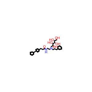 O=C(CCc1ccc(-c2ccccc2)cc1)NCCN(CCCc1ccccc1)C[C@H](O)[C@@H](O)[C@H](O)[C@H](O)CO